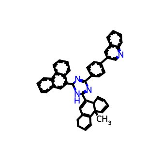 CC12C=CC=CC1C(C1=NC(c3ccc(-c4cnc5ccccc5c4)cc3)=NC(c3cc4ccccc4c4ccccc34)N1)=CC1=C2C=CCC1